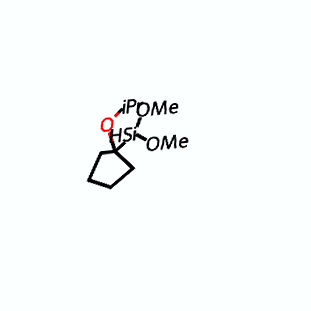 CO[SiH](OC)C1(OC(C)C)CCCC1